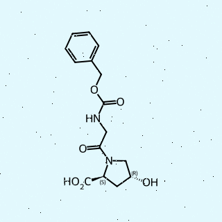 O=C(NCC(=O)N1C[C@H](O)C[C@H]1C(=O)O)OCc1ccccc1